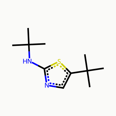 CC(C)(C)Nc1ncc(C(C)(C)C)s1